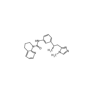 C[C@H](Cc1nncn1C)c1cccc(NC(=O)N2CCCc3cccnc32)c1